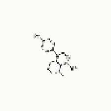 CC(C)c1ccc(-c2cnc(C(C)C)c3c2C=CCC3C)cc1